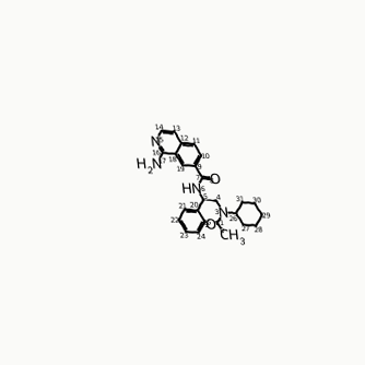 CC(=O)N(C[C@H](NC(=O)c1ccc2ccnc(N)c2c1)c1ccccc1)C1CCCCC1